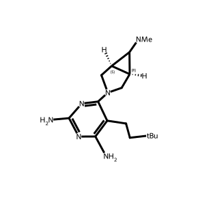 CNC1[C@H]2CN(c3nc(N)nc(N)c3CCC(C)(C)C)C[C@@H]12